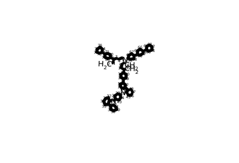 C=C/C(=C\C=C\N(C(=C)/C=C\C(=C)c1ccc(-c2ccc3c(c2)c2c(n3-c3ccc(-n4c5ccccc5c5ccccc54)cc3)C=CCC2)cc1)c1ccc(-c2ccc(-c3ccccc3)cc2)cc1)c1ccc(-c2ccccc2)cc1